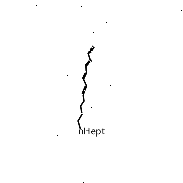 C=CC=CC=CC=CCCCCC[CH]CCCCC